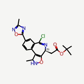 Cc1noc(-c2ccc3c(c2)C(Cl)=N[C@@H](CC(=O)OC(C)(C)C)C2=C3C(C)NO2)n1